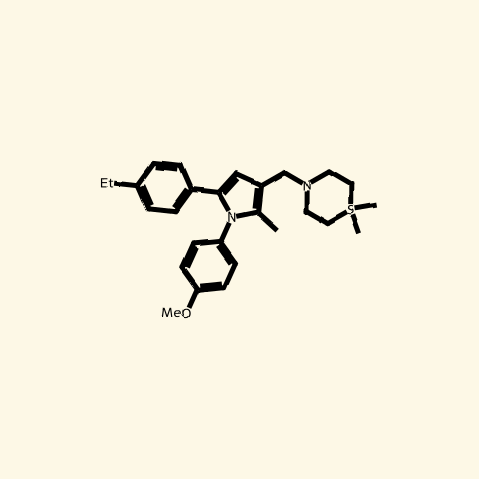 CCc1ccc(-c2cc(CN3CCS(C)(C)CC3)c(C)n2-c2ccc(OC)cc2)cc1